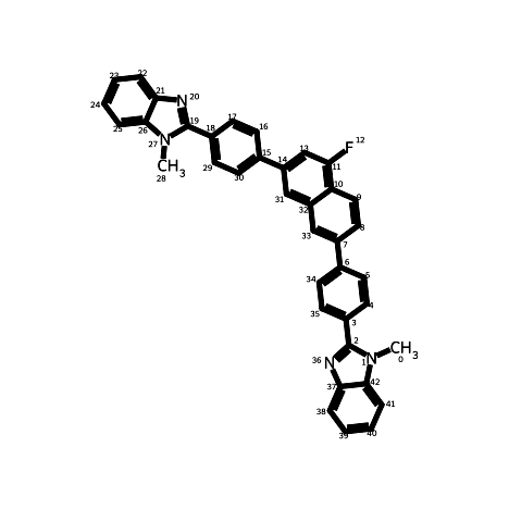 Cn1c(-c2ccc(-c3ccc4c(F)cc(-c5ccc(-c6nc7ccccc7n6C)cc5)cc4c3)cc2)nc2ccccc21